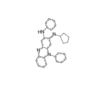 c1ccc(Nc2cc3nc4ccccc4n(-c4ccccc4)c-3cc2=NC2CCCC2)cc1